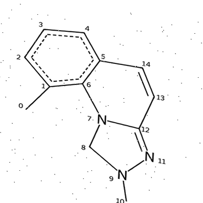 Cc1cccc2c1N1CN(C)N=C1C=C2